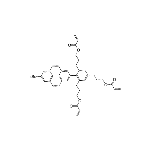 C=CC(=O)OCCCc1cc(CCCOC(=O)C=C)c(-c2cc3ccc4cc(C(C)(C)C)cc5ccc(c2)c3c45)c(CCCOC(=O)C=C)c1